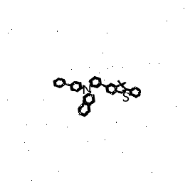 CC1(C)c2cc(-c3cccc(N(c4ccc(-c5ccccc5)cc4)c4ccc5ccccc5c4)c3)ccc2-c2sc3ccccc3c21